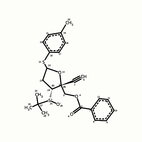 C#C[C@]1(COC(=O)c2ccccc2)OC(Sc2ccc(C)cc2)C[C@H]1[S+]([O-])C(C)(C)C